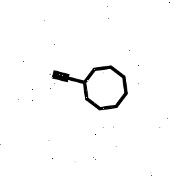 [C]#CC1CCCCCCC1